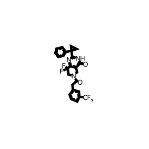 O=C(Cc1cccc(C(F)(F)F)c1)N1Cc2c(nc(C3(c4ccccc4)CC3)[nH]c2=O)C(F)(F)C1